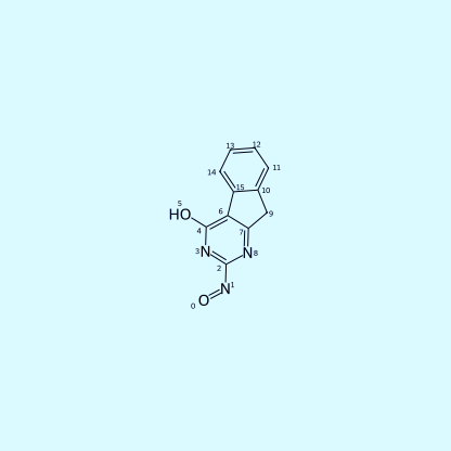 O=Nc1nc(O)c2c(n1)Cc1ccccc1-2